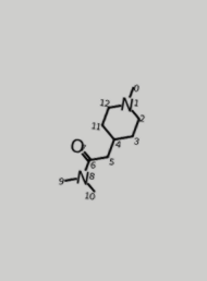 CN1CCC(CC(=O)N(C)C)CC1